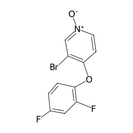 [O-][n+]1ccc(Oc2ccc(F)cc2F)c(Br)c1